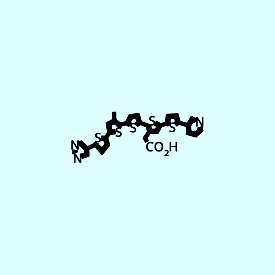 Cc1cc(-c2ccc(-c3cncnc3)s2)sc1-c1ccc(-c2sc(-c3ccc(-c4cccnc4)s3)cc2CC(=O)O)s1